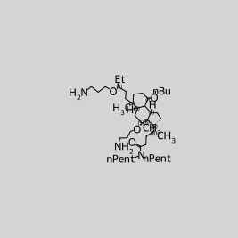 CCCCCN(CCCCC)C(=O)CC[C@@H](C)[C@H]1CC[C@H]2C3[C@H](OCCCC)CC[C@](C)(CC[C@H](CC)OCCCN)[C@H]3C[C@H](OCCCN)[C@]12C